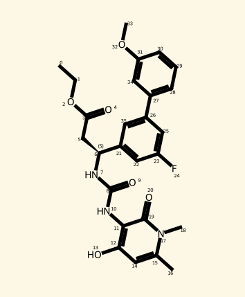 CCOC(=O)C[C@H](NC(=O)Nc1c(O)cc(C)n(C)c1=O)c1cc(F)cc(-c2cccc(OC)c2)c1